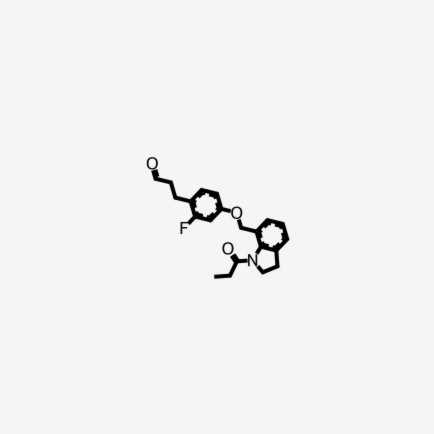 CCC(=O)N1CCc2cccc(COc3ccc(CCC=O)c(F)c3)c21